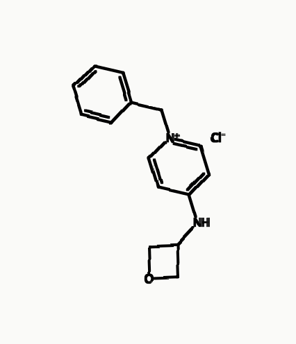 [Cl-].c1ccc(C[n+]2ccc(NC3COC3)cc2)cc1